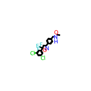 CC(=O)NCc1ccc(C2=NOC(c3cc(Cl)cc(Cl)c3)(C(F)(F)F)C2)cc1